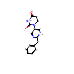 O=C1CCN(c2cnc(Cc3ccccc3)nc2)C(=O)N1